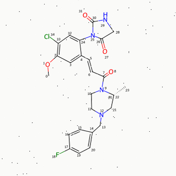 COc1cc(C=CC(=O)N2CCN(Cc3ccc(F)cc3)C[C@H]2C)c(N2C(=O)CNC2=O)cc1Cl